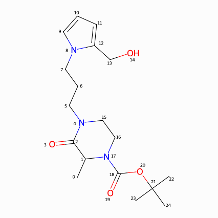 CC1C(=O)N(CCCn2cccc2CO)CCN1C(=O)OC(C)(C)C